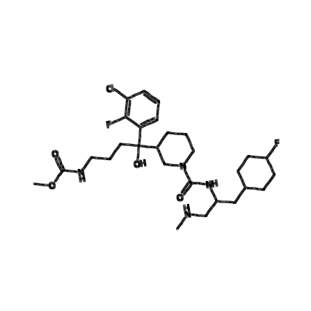 CNCC(CC1CCC(F)CC1)NC(=O)N1CCCC(C(O)(CCCNC(=O)OC)c2cccc(Cl)c2F)C1